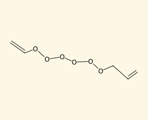 C=CCOOOOOOC=C